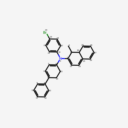 CC1C(N(C2=CC=C(c3ccccc3)CC2)c2ccc(Br)cc2)=CC=C2C=CC=CC21